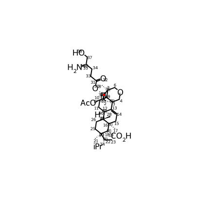 CC(=O)O[C@@H]1C[C@@]23COC[C@@](C)([C@@H]2CC[C@H]2C3=CC[C@@]3(C)[C@H](C(=O)O)[C@@](C)([C@H](C)C(C)C)CC[C@]23C)[C@H]1OC(=O)CC[C@@H](N)CO